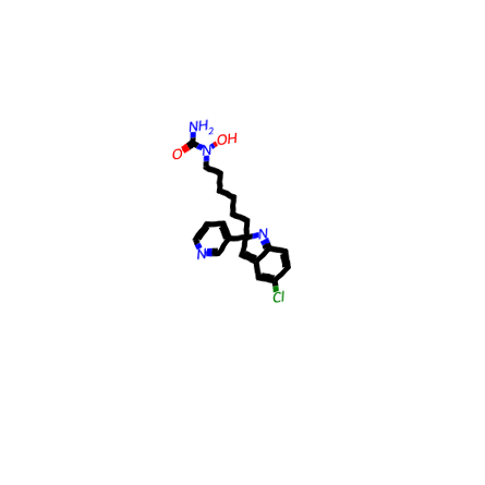 NC(=O)N(O)CCCCCCC1(c2cccnc2)C=c2cc(Cl)ccc2=N1